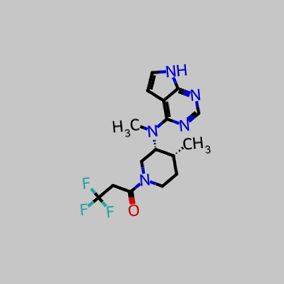 C[C@@H]1CCN(C(=O)CC(F)(F)F)C[C@@H]1N(C)c1ncnc2[nH]ccc12